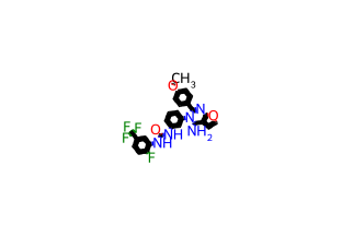 COc1ccc(C2=Nc3occc3C(N)N2c2cccc(NC(=O)Nc3cc(C(F)(F)F)ccc3F)c2)cc1